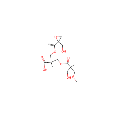 C=C(OCC(C)(COC(=O)C(C)(CO)COC)C(=O)O)C1(CO)CO1